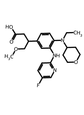 CCN(c1ccc(C(COC)CC(=O)O)cc1Nc1ccc(F)cn1)C1CCOCC1